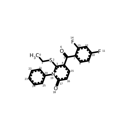 CCSc1c(C(=O)c2ccc(F)cc2F)ccc(=O)n1-c1ccccc1